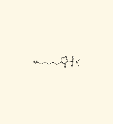 CN(C)S(=O)(=O)c1ncc(CCCCCN)[nH]1